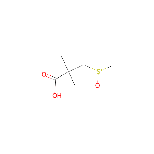 C[S+]([O-])CC(C)(C)C(=O)O